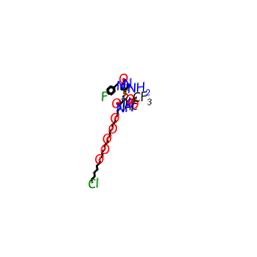 CC(=O)N(OC(=O)C(F)(F)F)[C@@H](CSc1cn(Cc2ccc(F)cc2)c(=O)nc1N)C(=O)NCCOCCOCCOCCOCCOCCCCCCCl